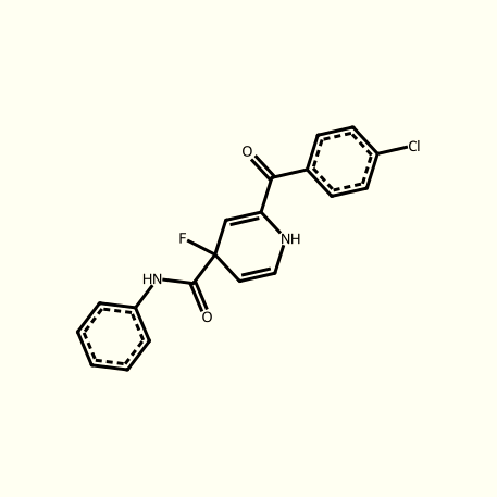 O=C(C1=CC(F)(C(=O)Nc2ccccc2)C=CN1)c1ccc(Cl)cc1